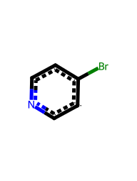 Brc1[c]cncc1